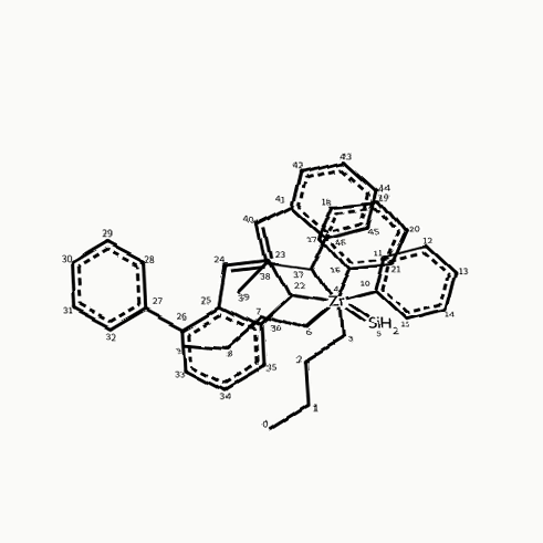 CCC[CH2][Zr](=[SiH2])([CH2]CCC)([c]1ccccc1)([c]1ccccc1)([CH]1C=Cc2c(-c3ccccc3)cccc21)[CH]1C(C)=Cc2ccccc21